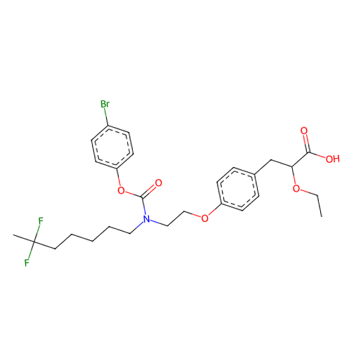 CCOC(Cc1ccc(OCCN(CCCCCC(C)(F)F)C(=O)Oc2ccc(Br)cc2)cc1)C(=O)O